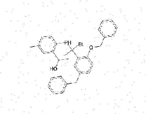 CCC(C)(Pc1ccc(C)cc1C(C)O)c1cc(Cc2ccccc2)ccc1OCc1ccccc1